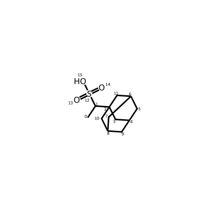 CC(C12CC3CC(CC(C3)C1)C2)S(=O)(=O)O